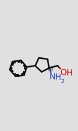 N[C@]1(CO)CCC(c2ccccc2)C1